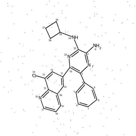 Nc1nc(-c2ccccc2)c(-c2cc(Cl)c3ncccc3c2)nc1NC1CCC1